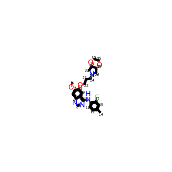 COc1cc2ncnc(Nc3ccc(C)cc3F)c2cc1OCCCN1CC2OCCOC2C1